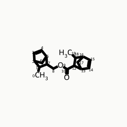 CC1C2C=CC(C2)C1COC(=O)C1C2C=CC(C2)C1C